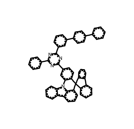 c1ccc(-c2ccc(-c3cccc(-c4nc(-c5ccccc5)nc(-c5ccc6c(c5)-n5c7ccccc7c7cccc(c75)C65c6ccccc6-c6ccccc65)n4)c3)cc2)cc1